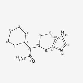 NC(=O)C(C1CCCCC1)C1CCc2[nH]cnc2C1